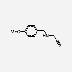 C#CCNCc1ccc(OC)cc1